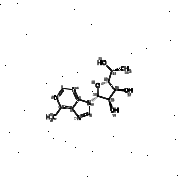 Cc1ncnc2c1ncn2[C@@H]1O[C@H]([C@H](C)O)[C@@H](O)[C@H]1O